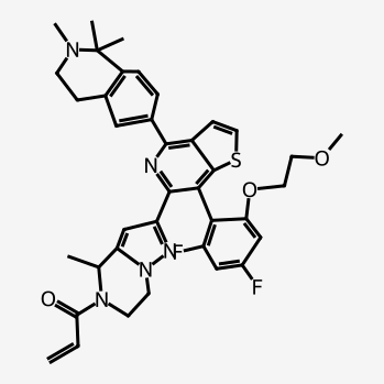 C=CC(=O)N1CCn2nc(-c3nc(-c4ccc5c(c4)CCN(C)C5(C)C)c4ccsc4c3-c3c(F)cc(F)cc3OCCOC)cc2C1C